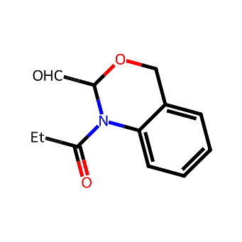 CCC(=O)N1c2ccccc2COC1C=O